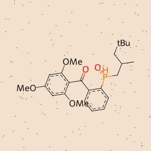 COc1cc(OC)c(C(=O)c2ccccc2[PH](=O)CC(C)CC(C)(C)C)c(OC)c1